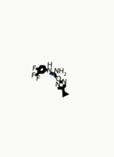 N/C(=C\Nc1ccc(F)c(C(F)F)c1)COc1ncc(C2CC2)cn1